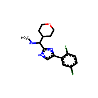 O=C(O)NC(c1nc(-c2cc(F)ccc2F)c[nH]1)C1CCOCC1